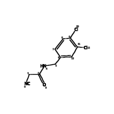 [C-]#[N+]CC(=O)NCc1ccc(Cl)c(Cl)c1